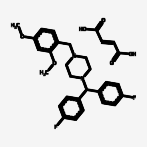 COc1ccc(CN2CCN(C(c3ccc(F)cc3)c3ccc(F)cc3)CC2)c(OC)c1.O=C(O)C=CC(=O)O